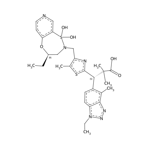 CC[C@@H]1CN(Cc2nc([C@@H](c3ccc4c(nnn4CC)c3C)C(C)(C)C(=O)O)sc2C)S(O)(O)c2cnccc2O1